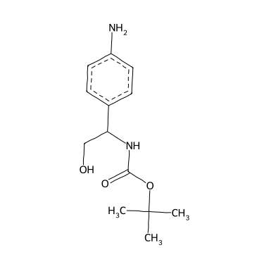 CC(C)(C)OC(=O)NC(CO)c1ccc(N)cc1